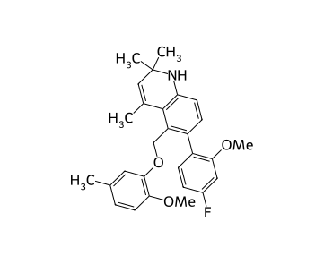 COc1ccc(C)cc1OCc1c(-c2ccc(F)cc2OC)ccc2c1C(C)=CC(C)(C)N2